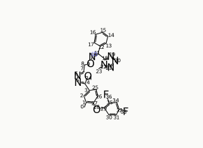 Cc1cc(-c2nnc(CO/N=C(/c3ccccc3)c3nnnn3C)o2)ccc1Oc1ccc(F)cc1F